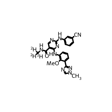 [2H]C([2H])([2H])NC(=O)c1cnc(Nc2cccc(C#N)c2)nc1Nc1cccc(-c2ncn(C)n2)c1OC